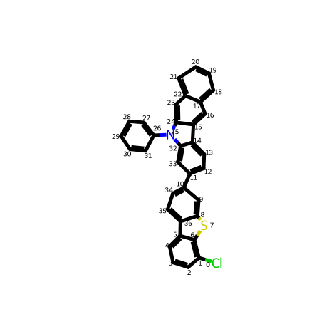 Clc1cccc2c1sc1cc(-c3ccc4c5cc6ccccc6cc5n(-c5ccccc5)c4c3)ccc12